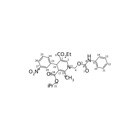 CCOC(=O)C1=CN(COC(=O)Nc2ccccc2)C(C)=C(C(=O)OC(C)C)C1c1cccc([N+](=O)[O-])c1